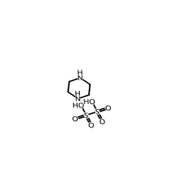 C1CNCCN1.O=S(=O)(O)S(=O)(=O)O